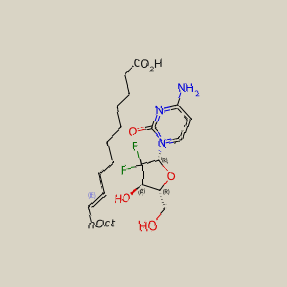 CCCCCCCC/C=C/CCCCCCCC(=O)O.Nc1ccn([C@@H]2O[C@H](CO)[C@@H](O)C2(F)F)c(=O)n1